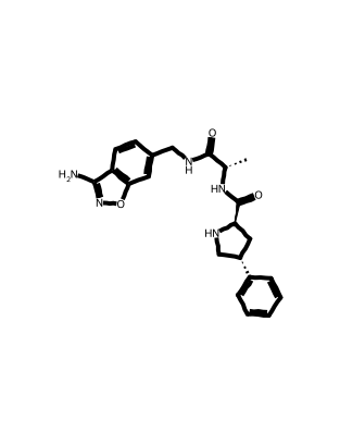 C[C@H](NC(=O)[C@H]1C[C@H](c2ccccc2)CN1)C(=O)NCc1ccc2c(N)noc2c1